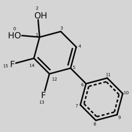 OC1(O)CC=C(c2ccccc2)C(F)=C1F